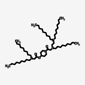 CCCCCCCCCN(CCCCCCCCC)CCN(CCCCCCCCC)CC(=O)N1CCC(OC(=O)CN(CCCCCCCCC)CCCCCCCCC)CC1